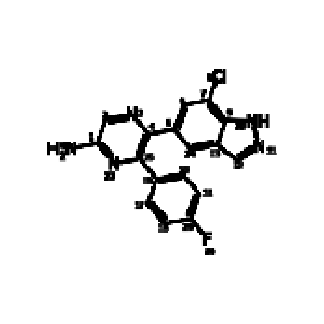 Nc1cnc(-c2cc(Cl)c3[nH]ncc3c2)c(-c2ccc(F)cc2)n1